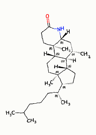 CC(C)CCC[C@@H](C)[C@H]1CC[C@H]2[C@@H]3[C@@H](C)C[C@H]4NC(=O)CC[C@]4(C)[C@H]3CC[C@]12C